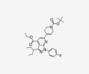 CCOC(=O)c1cc(C2=CCN(C(=O)OC(C)(C)C)CC2)nc2c1c(C(CC)CC)nn2-c1ccc(F)cc1